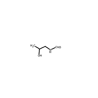 CC(O)CNC=O